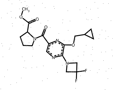 COC(=O)C1CCCN1C(=O)c1cnc(N2CC(F)(F)C2)c(OCC2CC2)n1